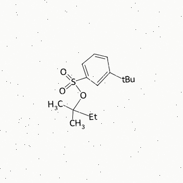 CCC(C)(C)OS(=O)(=O)c1cccc(C(C)(C)C)c1